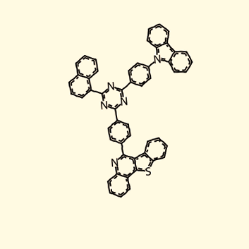 c1ccc2c(-c3nc(-c4ccc(-c5nc6ccccc6c6sc7ccccc7c56)cc4)nc(-c4ccc(-n5c6ccccc6c6ccccc65)cc4)n3)cccc2c1